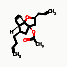 C=CCC[C@@H]1C[C@]2(OC(C)=O)C[C@H](CC=C)O[C@@]23CC=CC[C@H]13